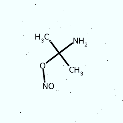 CC(C)(N)ON=O